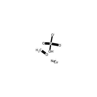 C=O.O=S(=O)([O-])O.[Cu].[Na+]